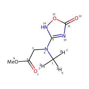 [2H]C([2H])([2H])N(CC(=O)OC)c1nc(=O)o[nH]1